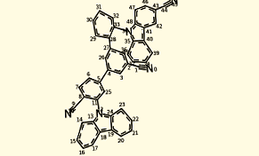 N#Cc1cc(-c2ccc(C#N)c(-n3c4ccccc4c4ccccc43)c2)cc(-c2ccccc2-n2c3ccccc3c3cc(C#N)ccc32)c1